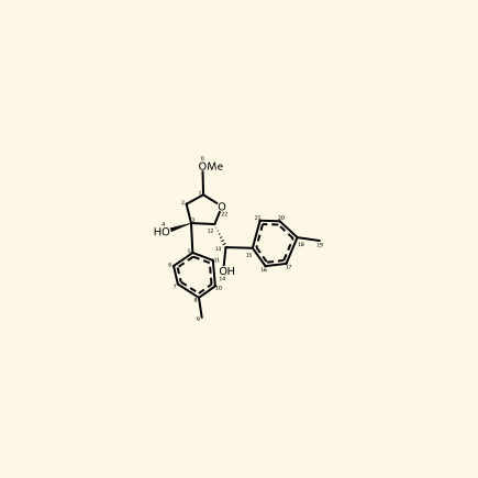 COC1C[C@@](O)(c2ccc(C)cc2)[C@@H](C(O)c2ccc(C)cc2)O1